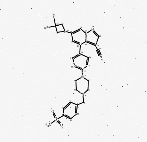 CS(=O)(=O)c1ccc(CN2CCN(c3ccc(-c4cc(N5CC(F)(F)C5)cn5ncc(C#N)c45)cn3)CC2)cc1